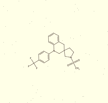 CS(=O)(=O)N1CCC2(Cc3ccccc3N(c3ccc(C(F)(F)F)cc3)C2)C1